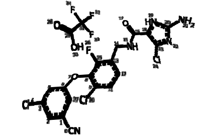 N#Cc1cc(Cl)cc(Oc2c(Cl)ccc(CNC(=O)c3[nH]c(N)nc3Cl)c2F)c1.O=C(O)C(F)(F)F